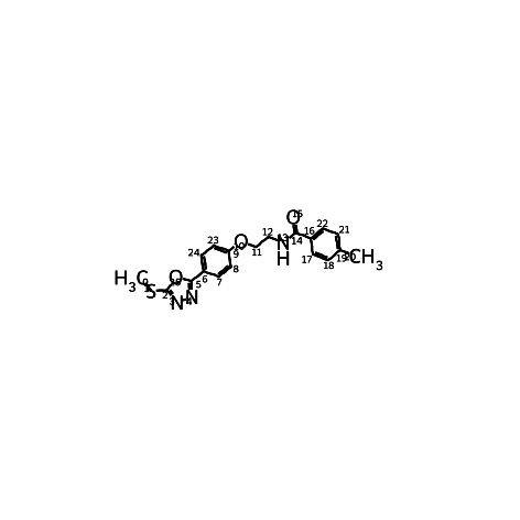 CSc1nnc(-c2ccc(OCCNC(=O)c3ccc(C)cc3)cc2)o1